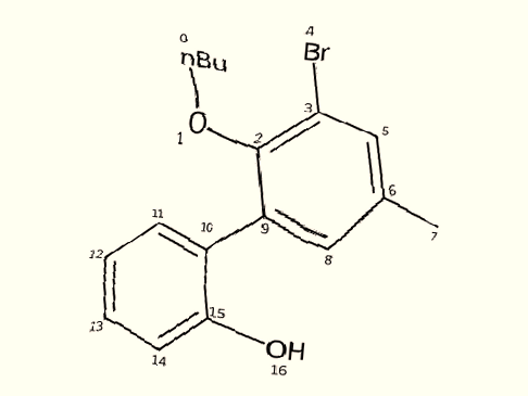 CCCCOc1c(Br)cc(C)cc1-c1ccccc1O